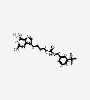 Nc1nc(Cl)nc2c1ncn2CCCCOC(=O)NCc1cccc(C(F)(F)F)c1